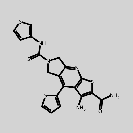 NC(=O)c1sc2nc3c(c(-c4cccs4)c2c1N)CN(C(=S)Nc1ccsc1)C3